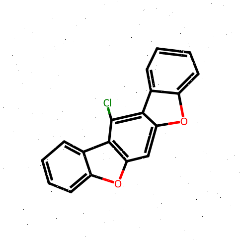 Clc1c2c(cc3oc4ccccc4c13)oc1ccccc12